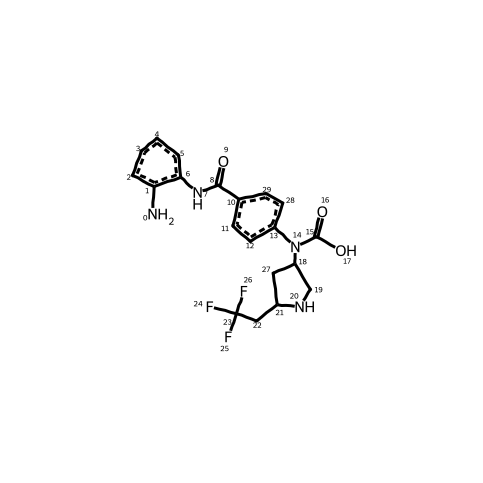 Nc1ccccc1NC(=O)c1ccc(N(C(=O)O)C2CNC(CC(F)(F)F)C2)cc1